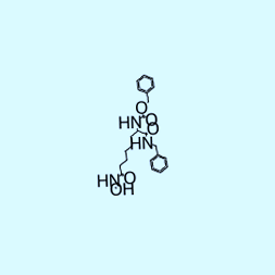 O=C(CCCCCC(NC(=O)OCc1ccccc1)C(=O)NCc1ccccc1)NO